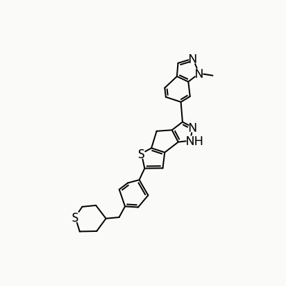 Cn1ncc2ccc(-c3n[nH]c4c3Cc3sc(-c5ccc(CC6CCSCC6)cc5)cc3-4)cc21